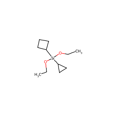 CCO[Si](OCC)(C1CCC1)C1CC1